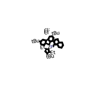 CCC1=[C](/[Zr+2](=[CH]/c2cccc3ccccc23)[CH]2c3ccc(C(C)(C)C)cc3-c3cc(C(C)(C)C)ccc32)C(CC)C=C1C(C)(C)C.[Cl-].[Cl-]